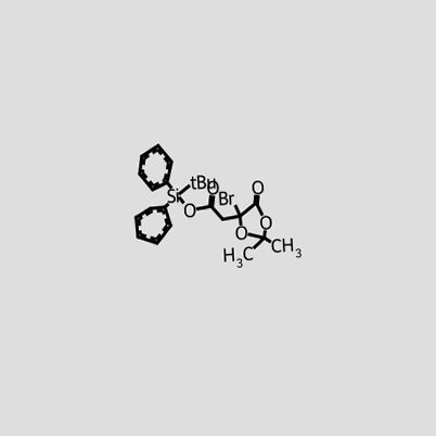 CC1(C)OC(=O)C(Br)(CC(=O)O[Si](c2ccccc2)(c2ccccc2)C(C)(C)C)O1